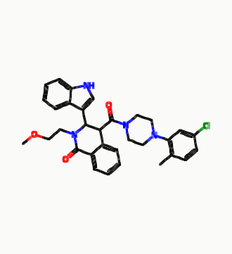 COCCN1C(=O)c2ccccc2C(C(=O)N2CCN(c3cc(Cl)ccc3C)CC2)C1c1c[nH]c2ccccc12